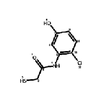 O=C(CS)Nc1cc(O)ccc1Cl